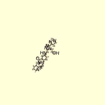 O=C(NCc1cccnc1C(F)(F)F)c1cccc(NCc2nnc(-c3ccncn3)n2CCO)c1